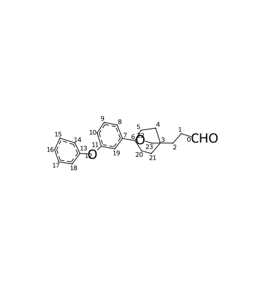 O=CCCC12CCC(c3cccc(Oc4ccccc4)c3)(CC1)OC2